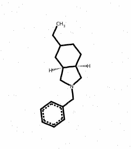 CCC1CC[C@H]2CN(Cc3ccccc3)C[C@H]2C1